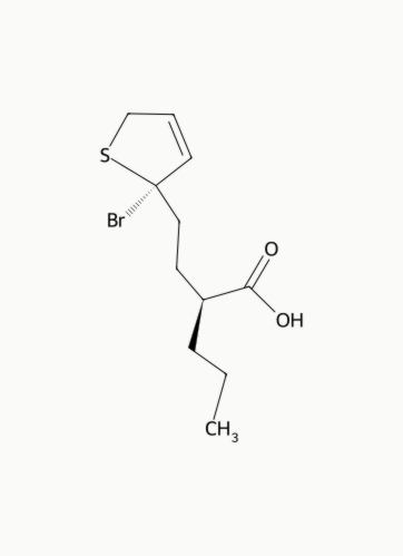 CCC[C@@H](CC[C@]1(Br)C=CCS1)C(=O)O